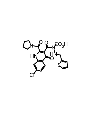 O=C(c1[nH]c2cc(Cl)ccc2c(=O)c1C(=O)N(NCc1cccs1)C(=O)O)N1CCCC1